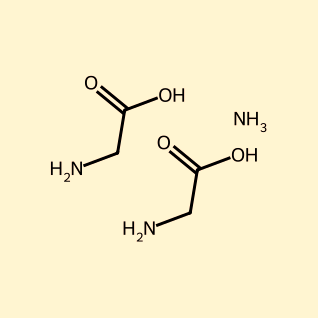 N.NCC(=O)O.NCC(=O)O